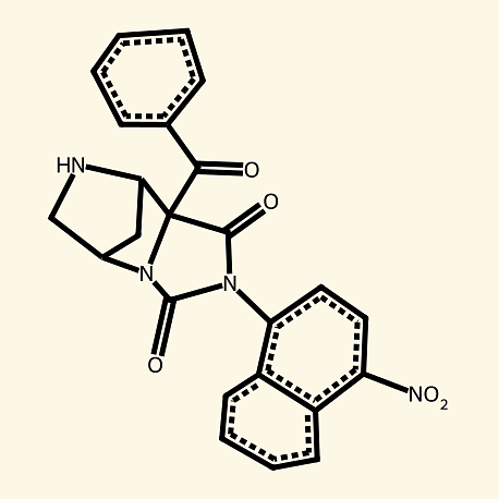 O=C1N(c2ccc([N+](=O)[O-])c3ccccc23)C(=O)C2(C(=O)c3ccccc3)C3CC(CN3)N12